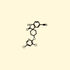 N#Cc1ccc2c(c1)C1(CCC(Oc3ncc(Cl)cc3Cl)CC1)C(=O)N2